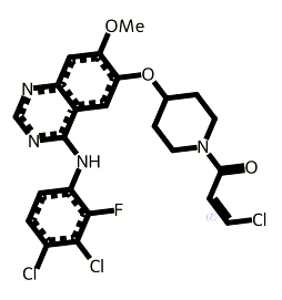 COc1cc2ncnc(Nc3ccc(Cl)c(Cl)c3F)c2cc1OC1CCN(C(=O)/C=C\Cl)CC1